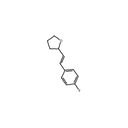 Fc1ccc(C=CC2CCCO2)cc1